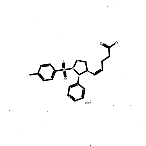 O=C([O-])CC/C=C\[C@@H]1CCN(S(=O)(=O)c2ccc(Cl)cc2)[C@@H]1c1ccccc1.[Na+]